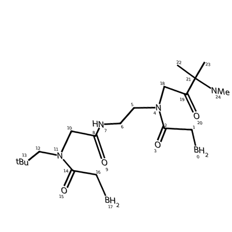 BCC(=O)N(CCNC(=O)CN(CC(C)(C)C)C(=O)CB)CC(=O)C(C)(C)NC